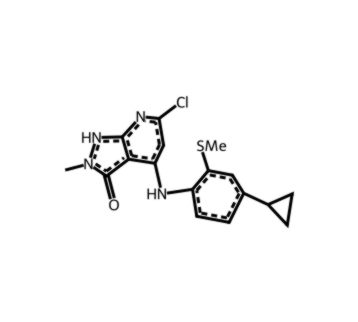 CSc1cc(C2CC2)ccc1Nc1cc(Cl)nc2[nH]n(C)c(=O)c12